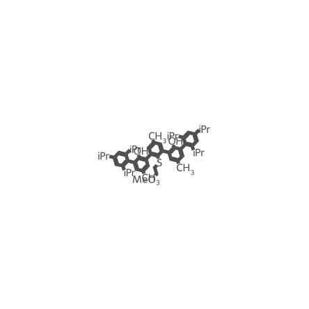 COCCSc1c(-c2cc(C)cc(-c3c(C(C)C)cc(C(C)C)cc3C(C)C)c2O)cc(C)cc1-c1cc(C)cc(-c2c(C(C)C)cc(C(C)C)cc2C(C)C)c1O